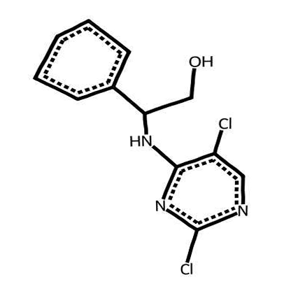 OCC(Nc1nc(Cl)ncc1Cl)c1ccccc1